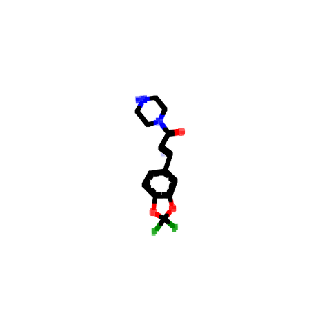 O=C(/C=C/c1ccc2c(c1)OC(F)(F)O2)N1CCNCC1